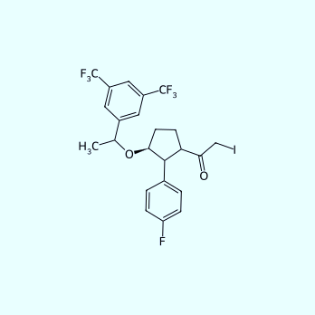 CC(O[C@H]1CCC(C(=O)CI)C1c1ccc(F)cc1)c1cc(C(F)(F)F)cc(C(F)(F)F)c1